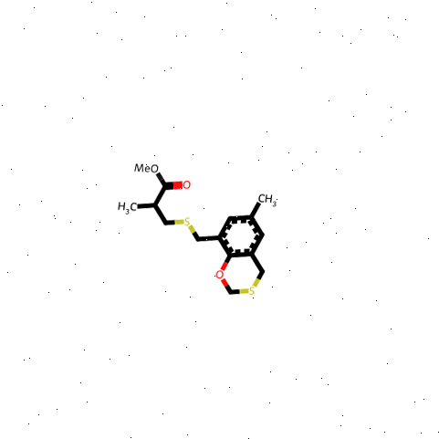 COC(=O)C(C)CSCc1cc(C)cc2c1OCSC2